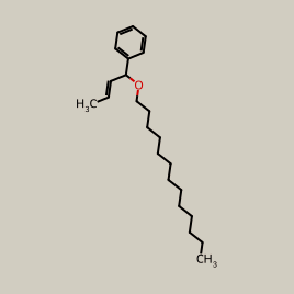 CC=CC(OCCCCCCCCCCCCC)c1ccccc1